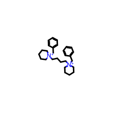 c1ccc(C[N+]2(CCCC[N+]3(Cc4ccccc4)CCCCC3)CCCCC2)cc1